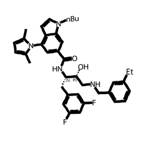 CCCCn1ccc2c(-n3c(C)ccc3C)cc(C(=O)N[C@@H](Cc3cc(F)cc(F)c3)[C@H](O)CNCc3cccc(CC)c3)cc21